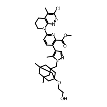 COC(=O)c1nc(N2CCCc3c2nnc(Cl)c3C)ccc1-c1cnn(CC23CC4(C)CC(C)(C2)CC(OCCO)(C4)C3)c1C